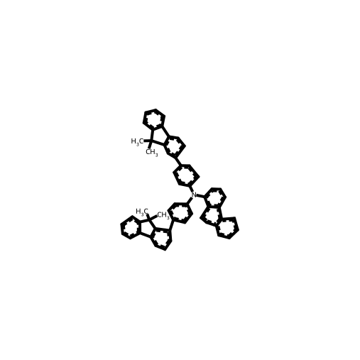 CC1(C)c2ccccc2-c2ccc(-c3ccc(N(c4ccc(-c5cccc6c5C(C)(C)c5ccccc5-6)cc4)c4cccc5c4ccc4ccccc45)cc3)cc21